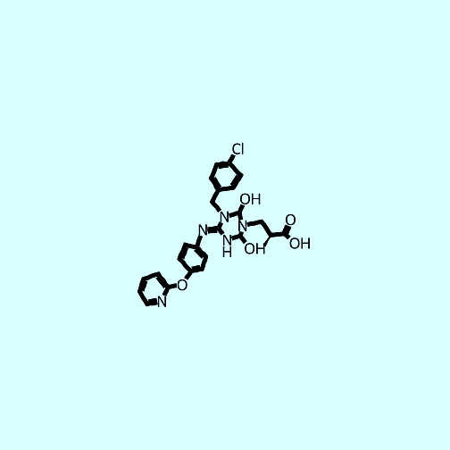 C[C@@H](CN1C(O)N/C(=N\c2ccc(Oc3ccccn3)cc2)N(Cc2ccc(Cl)cc2)C1O)C(=O)O